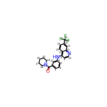 O=C(c1cccc(Nc2ccnc3cc(C(F)(F)F)ccc23)c1)N1CCCCC1